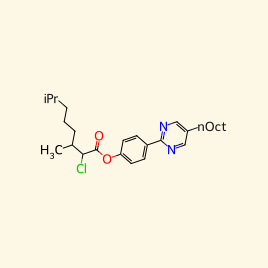 CCCCCCCCc1cnc(-c2ccc(OC(=O)C(Cl)C(C)CCCC(C)C)cc2)nc1